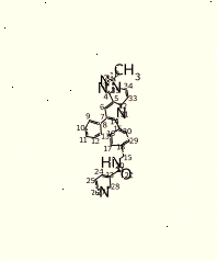 Cc1nnc2c3cc(-c4ccccc4)c(-c4ccc(CNC(=O)c5cccnc5)cc4)nc3ccn12